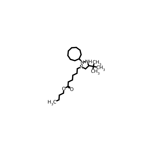 CCCCOC(=O)CCCCCN1CC(C(C)(C)C)NN1C1CCCCCCCC1